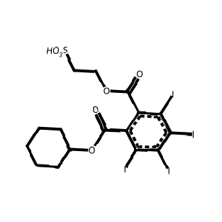 O=C(OCCS(=O)(=O)O)c1c(I)c(I)c(I)c(I)c1C(=O)OC1CCCCC1